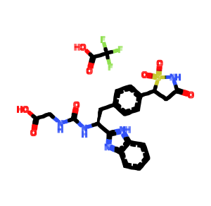 O=C(O)C(F)(F)F.O=C(O)CNC(=O)N[C@@H](Cc1ccc(C2CC(=O)NS2(=O)=O)cc1)c1nc2ccccc2[nH]1